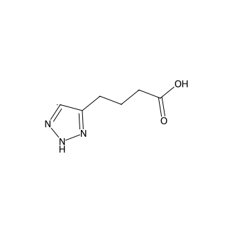 O=C(O)CCCc1[c]n[nH]n1